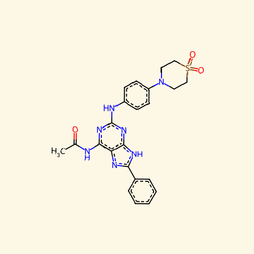 CC(=O)Nc1nc(Nc2ccc(N3CCS(=O)(=O)CC3)cc2)nc2[nH]c(-c3ccccc3)nc12